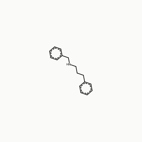 [c]1cccc(CNCCCc2ccccc2)c1